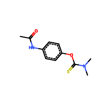 CC(=O)Nc1ccc(OC(=S)N(C)C)cc1